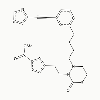 COC(=O)c1ccc(CCN2C(=O)SCCN2CCCCc2cccc(C#Cc3cscn3)c2)s1